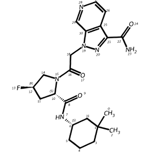 CC1(C)CCC[C@H](NC(=O)[C@@H]2C[C@@H](F)CN2C(=O)Cn2nc(C(N)=O)c3ccncc32)C1